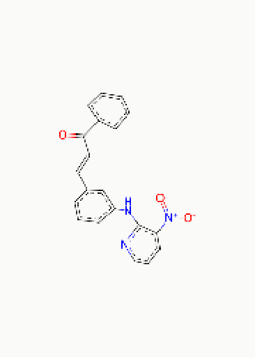 O=C(C=Cc1cccc(Nc2ncccc2[N+](=O)[O-])c1)c1ccccc1